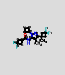 Cc1c(C2(C)CC(F)(F)C2)nn(C2CCC2)c1NC(=O)C1CC(F)(F)C1